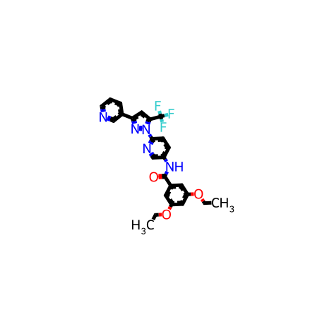 CCOc1cc(OCC)cc(C(=O)Nc2ccc(-n3nc(-c4cccnc4)cc3C(F)(F)F)nc2)c1